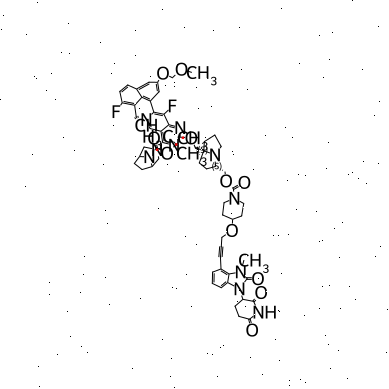 C#Cc1c(F)ccc2cc(OCOC)cc(-c3ncc4c(N5CC6CCC(C5)N6C(=O)OC(C)(C)C)nc(OC[C@@]56CCCN5[C@H](COC(=O)N5CCC(OCC#Cc7cccc8c7n(C)c(=O)n8C7CCC(=O)NC7=O)CC5)CC6)nc4c3F)c12